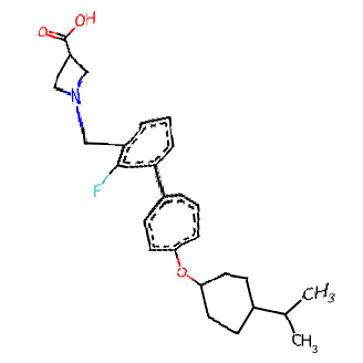 CC(C)C1CCC(Oc2ccc(-c3cccc(CN4CC(C(=O)O)C4)c3F)cc2)CC1